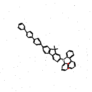 CC1(C)c2cc(-c3ccc(-c4ccc(-c5ccccc5)cc4)cc3)ccc2-c2ccc(N(c3ccccc3)c3ccccc3-c3ccccc3)cc21